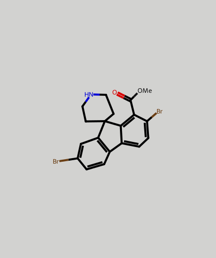 COC(=O)c1c(Br)ccc2c1C1(CCNCC1)c1cc(Br)ccc1-2